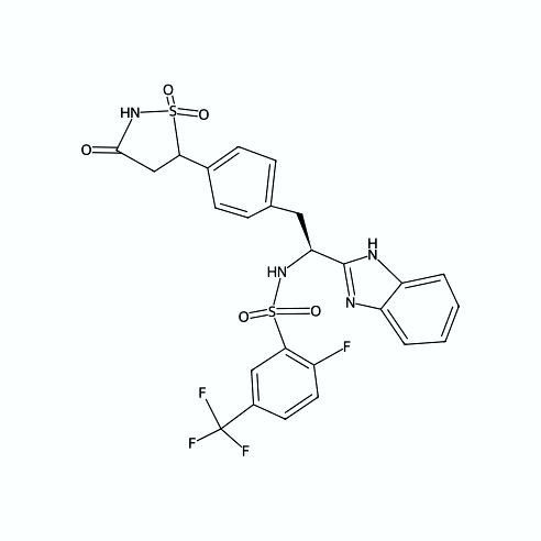 O=C1CC(c2ccc(C[C@H](NS(=O)(=O)c3cc(C(F)(F)F)ccc3F)c3nc4ccccc4[nH]3)cc2)S(=O)(=O)N1